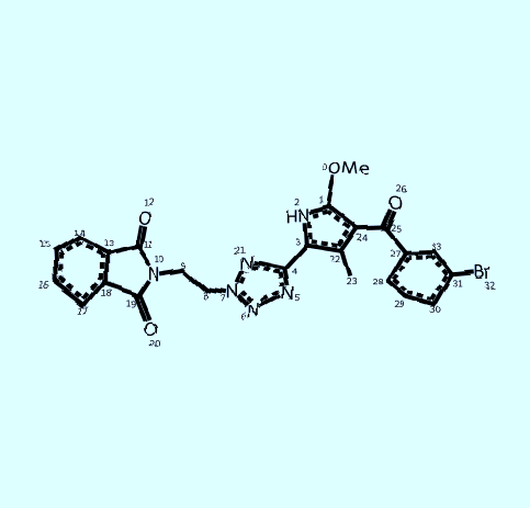 COc1[nH]c(-c2nnn(CCN3C(=O)c4ccccc4C3=O)n2)c(C)c1C(=O)c1cccc(Br)c1